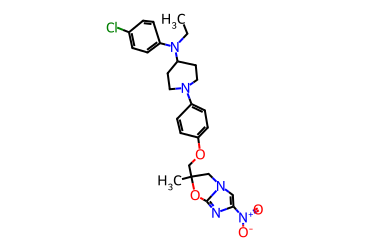 CCN(c1ccc(Cl)cc1)C1CCN(c2ccc(OCC3(C)Cn4cc([N+](=O)[O-])nc4O3)cc2)CC1